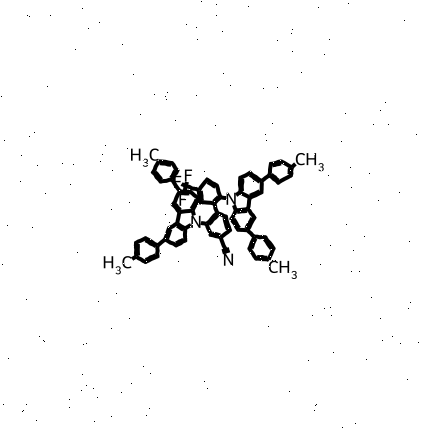 Cc1ccc(-c2ccc3c(c2)c2cc(-c4ccc(C)cc4)ccc2n3-c2ccc(C(F)(F)F)cc2-c2ccc(C#N)cc2-n2c3ccc(-c4ccc(C)cc4)cc3c3cc(-c4ccc(C)cc4)ccc32)cc1